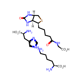 NCCCC[C@H](N)C(=O)O.N[C@@H](Cc1c[nH]cn1)C(=O)O.O=C(O)CNC(=O)CCCC[C@@H]1SC[C@@H]2NC(=O)N[C@@H]21